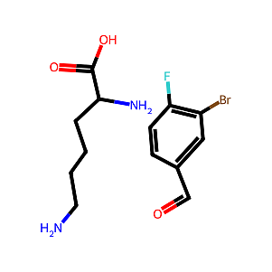 NCCCCC(N)C(=O)O.O=Cc1ccc(F)c(Br)c1